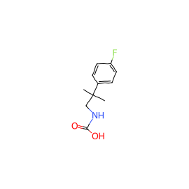 CC(C)(CNC(=O)O)c1ccc(F)cc1